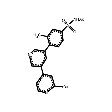 CC(=O)NS(=O)(=O)c1ccc(-c2cncc(-c3ccnc(C(C)(C)C)c3)c2)c(C)c1